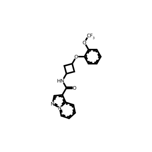 O=C(NC1CC(Oc2ccccc2OC(F)(F)F)C1)c1cnn2ccccc12